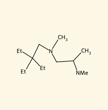 CCC(CC)(CC)CN(C)CC(C)NC